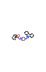 O=C(CN1CCC(Cn2c3ccccc3c3ccccc32)CC1)C12CC3CC(CC(C3)C1)C2